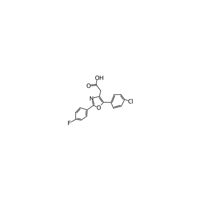 O=C(O)Cc1nc(-c2ccc(F)cc2)oc1-c1ccc(Cl)cc1